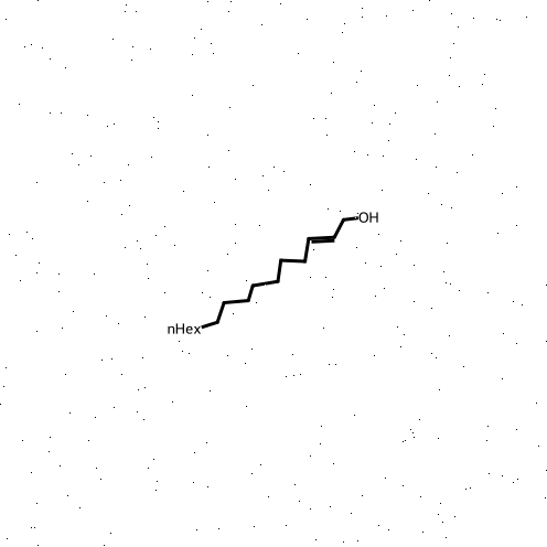 CCCCCCCCCCCCC/C=C/CO